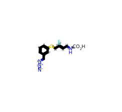 [N-]=[N+]=NCc1cccc(SC/C(F)=C/CNC(=O)O)c1